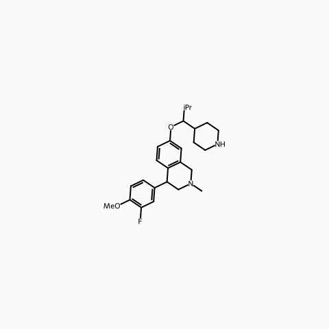 COc1ccc(C2CN(C)Cc3cc(OC(C(C)C)C4CCNCC4)ccc32)cc1F